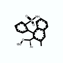 CC(=O)[C@@H](OC(C)(C)C)c1c(C)cc2ccccc2c1-c1ccccc1S(N)(=O)=O